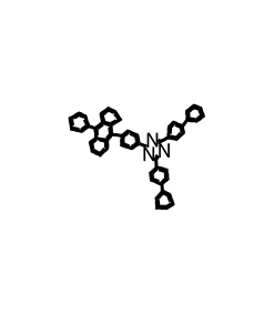 c1ccc(-c2ccc(-c3nc(-c4ccc(-c5ccccc5)cc4)nc(-c4ccc(-c5c6ccccc6c(-c6ccccc6)c6ccccc56)cc4)n3)cc2)cc1